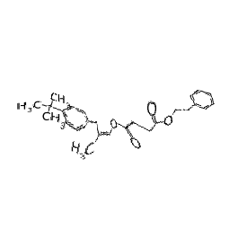 CC(=COC(=O)CCC(=O)OCCc1ccccc1)Cc1ccc(C(C)(C)C)cc1